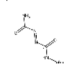 CCCCNC(=O)N=NC(N)=O